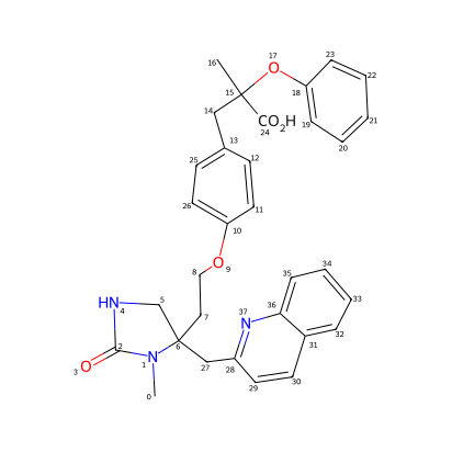 CN1C(=O)NCC1(CCOc1ccc(CC(C)(Oc2ccccc2)C(=O)O)cc1)Cc1ccc2ccccc2n1